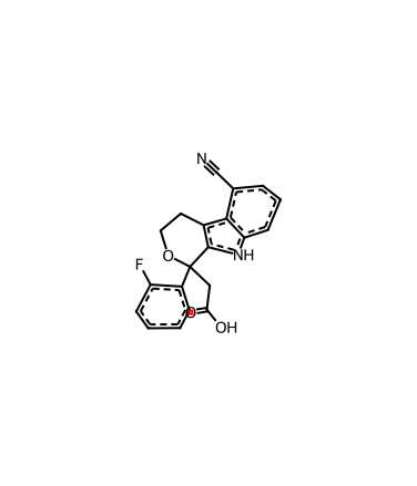 N#Cc1cccc2[nH]c3c(c12)CCOC3(CC(=O)O)c1ccccc1F